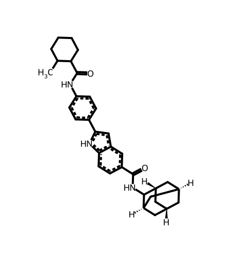 CC1CCCCC1C(=O)Nc1ccc(-c2cc3cc(C(=O)NC4[C@H]5C[C@@H]6C[C@@H](C[C@H]4C6)C5)ccc3[nH]2)cc1